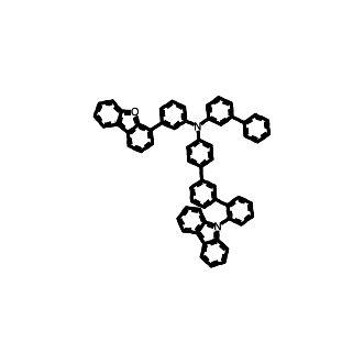 c1ccc(-c2cccc(N(c3ccc(-c4cccc(-c5ccccc5-n5c6ccccc6c6ccccc65)c4)cc3)c3cccc(-c4cccc5c4oc4ccccc45)c3)c2)cc1